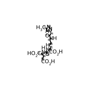 Cc1cn(CC(=O)NCCCC[C@H](NC(=O)N[C@@H](CCC(=O)O)C(=O)O)C(=O)O)nn1